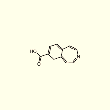 O=C(O)C1=CC=C2C=CN=CC=C2C1